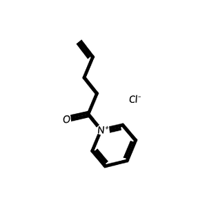 C=CCCC(=O)[n+]1ccccc1.[Cl-]